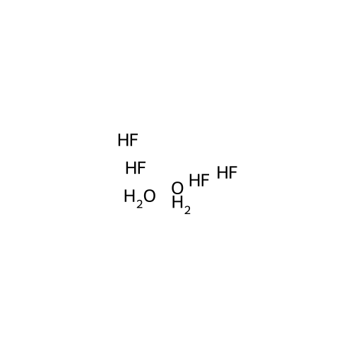 F.F.F.F.O.O